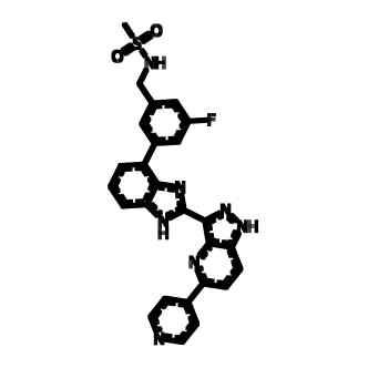 CS(=O)(=O)NCc1cc(F)cc(-c2cccc3[nH]c(-c4n[nH]c5ccc(-c6ccncc6)nc45)nc23)c1